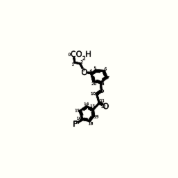 O=C(O)CCOc1cccc(/C=C/C(=O)c2ccc(F)cc2)c1